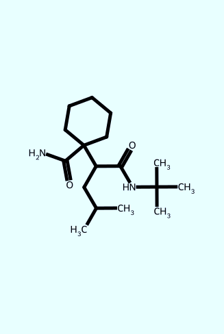 CC(C)CC(C(=O)NC(C)(C)C)C1(C(N)=O)CCCCC1